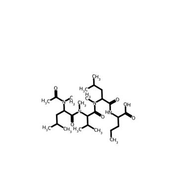 CCCC(NC(=O)C(CC(C)C)N(C)C(=O)C(C(C)C)N(C)C(=O)C(CC(C)C)N(C)C(C)=O)C(=O)O